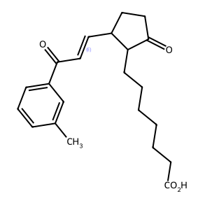 Cc1cccc(C(=O)/C=C/C2CCC(=O)C2CCCCCCC(=O)O)c1